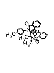 Cc1ccc(-n2c(C(C)N(C)S(=O)(=O)c3ccccc3C(C)(C)C)nc3ccccc3c2=O)cc1